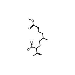 C=C(C)C(CCC(C)C/C=C/C(=O)OC)[N+](=O)[O-]